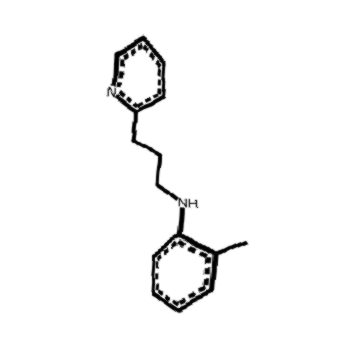 Cc1ccccc1NCCCc1ccccn1